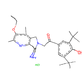 CCOc1c(C)nc2c(c1C)CN(CC(=O)c1cc(C(C)(C)C)c(O)c(C(C)(C)C)c1)C2=N.Cl